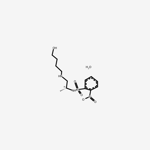 C[C@H](CNCCCCO)NS(=O)(=O)c1ccccc1[N+](=O)[O-].O